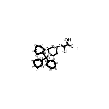 CC(O)C(Cl)ON1CCN(C(c2ccccc2)(c2ccccc2)c2ccccc2)CC1